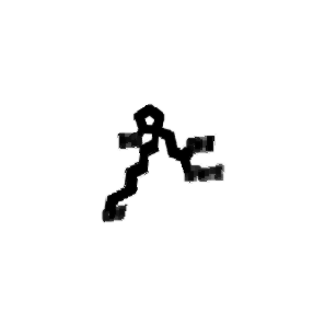 CCCCCC(O)/C=C/[C@@]1(CCCCCCO)CCC[C@H]1O